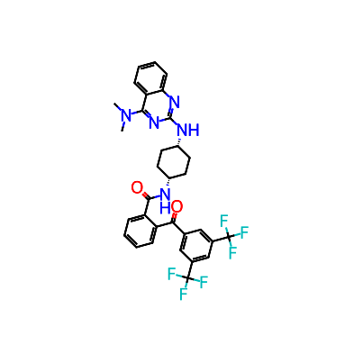 CN(C)c1nc(N[C@H]2CC[C@@H](NC(=O)c3ccccc3C(=O)c3cc(C(F)(F)F)cc(C(F)(F)F)c3)CC2)nc2ccccc12